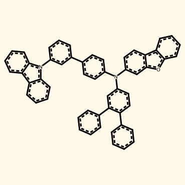 c1ccc(-c2ccc(N(c3ccc(-c4cccc(-n5c6ccccc6c6ccccc65)c4)cc3)c3ccc4c(c3)oc3ccccc34)cc2-c2ccccc2)cc1